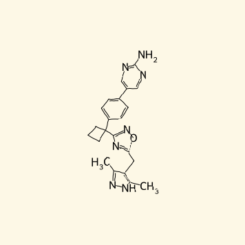 Cc1n[nH]c(C)c1Cc1nc(C2(c3ccc(-c4cnc(N)nc4)cc3)CCC2)no1